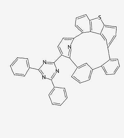 c1ccc(-c2nc(-c3ccccc3)nc(-c3ccc4nc3c3cccc(c3)c3ccccc3c3ccc5sc6cccc4c6c5c3)n2)cc1